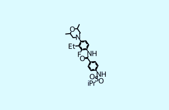 CCc1c(N2CC(C)OC(C)C2)ccc(NC(=O)c2ccc(NS(=O)(=O)C(C)C)cc2)c1F